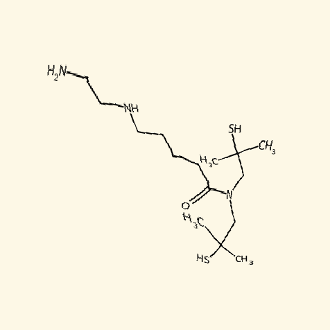 CC(C)(S)CN(CC(C)(C)S)C(=O)CCCCNCCN